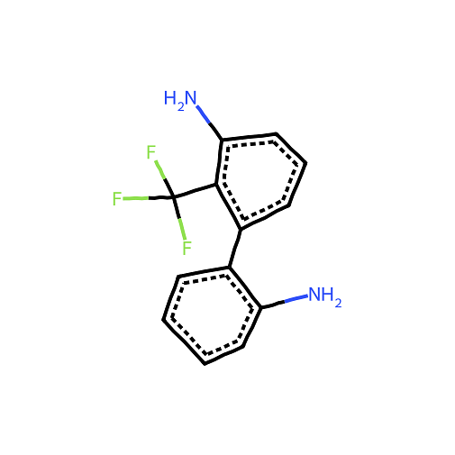 Nc1ccccc1-c1cccc(N)c1C(F)(F)F